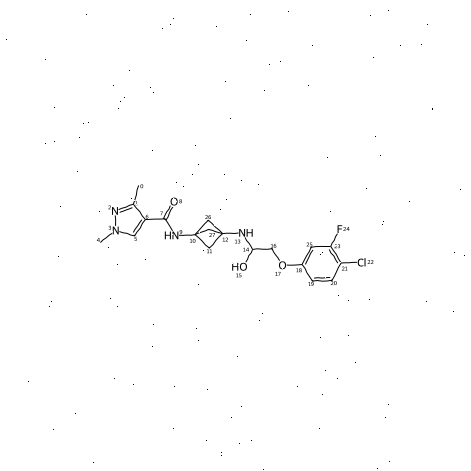 Cc1nn(C)cc1C(=O)NC12CC(NC(O)COc3ccc(Cl)c(F)c3)(C1)C2